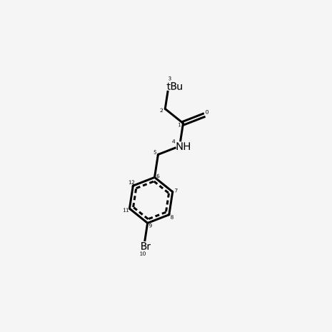 C=C(CC(C)(C)C)NCc1ccc(Br)cc1